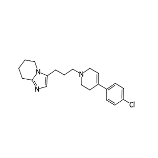 Clc1ccc(C2=CCN(CCCc3cnc4n3CCCC4)CC2)cc1